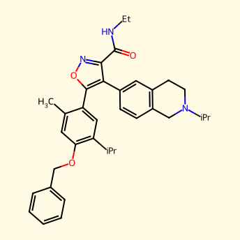 CCNC(=O)c1noc(-c2cc(C(C)C)c(OCc3ccccc3)cc2C)c1-c1ccc2c(c1)CCN(C(C)C)C2